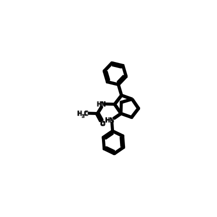 CC(=O)NC1C(c2ccccc2)C2CCC1(Nc1ccccc1)C2